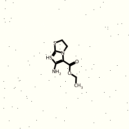 CCOC(=O)C1=C(N)[SH]=C2SCCN21